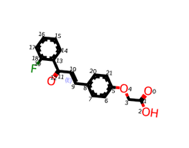 O=C(O)COc1ccc(/C=C/C(=O)c2ccccc2F)cc1